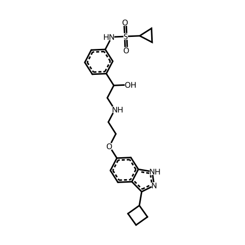 O=S(=O)(Nc1cccc(C(O)CNCCOc2ccc3c(C4CCC4)n[nH]c3c2)c1)C1CC1